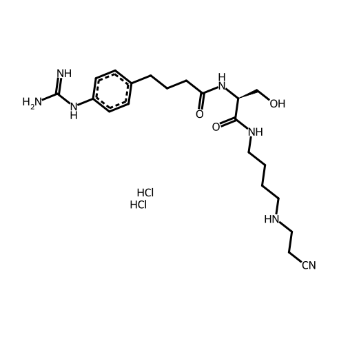 Cl.Cl.N#CCCNCCCCNC(=O)[C@H](CO)NC(=O)CCCc1ccc(NC(=N)N)cc1